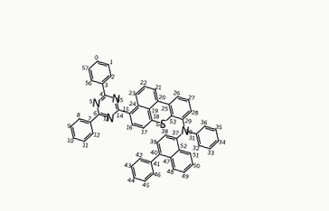 c1ccc(-c2nc(-c3ccccc3)nc(-c3ccc4c5c(cccc35)-c3cccc(N(c5ccccc5)c5ccc(-c6ccccc6)c6ccccc56)c3S4)n2)cc1